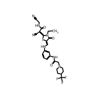 CCn1c(=C(C#N)C(=O)NCC#N)sc(=CNc2cccc(NC(=O)CN3CCC(C(F)(F)F)CC3)c2)c1=O